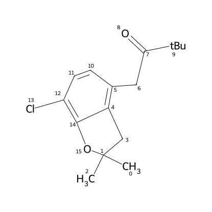 CC1(C)Cc2c(CC(=O)C(C)(C)C)ccc(Cl)c2O1